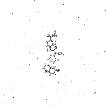 O=C(c1ccc2[nH]c([C@@H]([C@H]3CC[C@@H](c4ccnc5ccc(F)cc54)CC3)C(F)(F)F)nc2c1)N1CC1